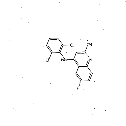 N#Cc1cc(Nc2c(Cl)cccc2Cl)c2cc(F)ccc2n1